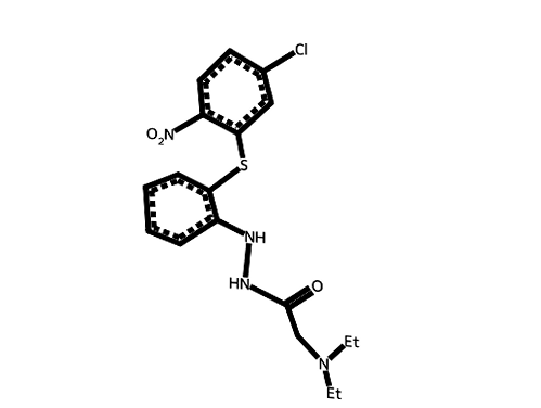 CCN(CC)CC(=O)NNc1ccccc1Sc1cc(Cl)ccc1[N+](=O)[O-]